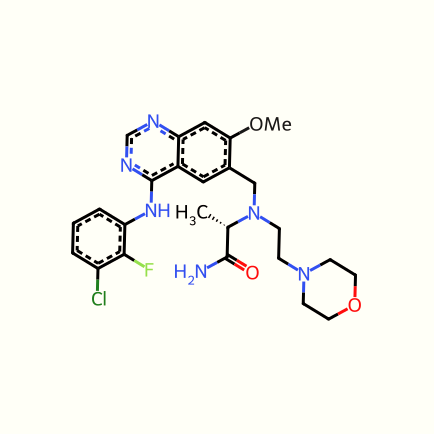 COc1cc2ncnc(Nc3cccc(Cl)c3F)c2cc1CN(CCN1CCOCC1)[C@@H](C)C(N)=O